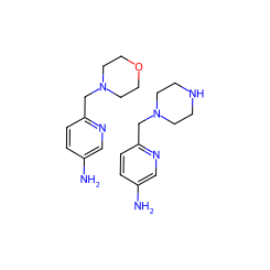 Nc1ccc(CN2CCNCC2)nc1.Nc1ccc(CN2CCOCC2)nc1